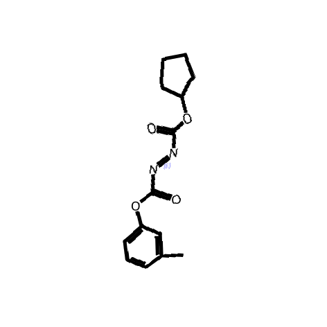 Cc1cccc(OC(=O)/N=N/C(=O)OC2CCCC2)c1